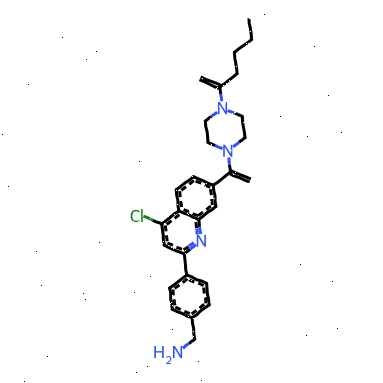 C=C(CCCC)N1CCN(C(=C)c2ccc3c(Cl)cc(-c4ccc(CN)cc4)nc3c2)CC1